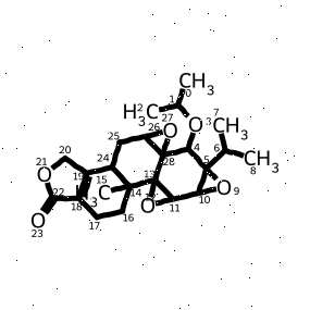 CC(C)OC1C2(C(C)C)OC2C2OC23C2(C)CCC4=C(COC4=O)C2CC2OC213